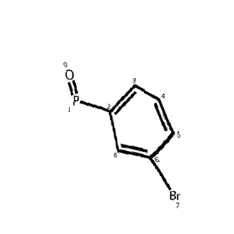 O=Pc1cccc(Br)c1